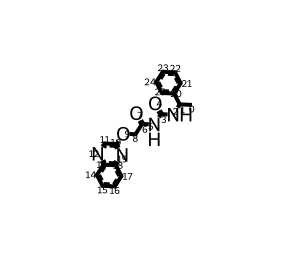 CC(NC(=O)NC(=O)COc1cnc2ccccc2n1)c1ccccc1